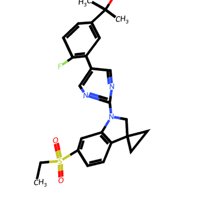 CCS(=O)(=O)c1ccc2c(c1)N(c1ncc(-c3cc(C(C)(C)O)ccc3F)cn1)CC21CC1